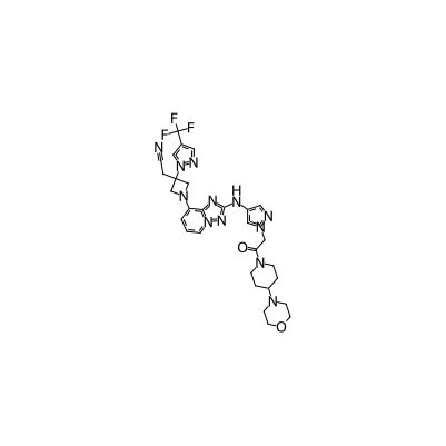 N#CCC1(n2cc(C(F)(F)F)cn2)CN(c2cccn3nc(Nc4cnn(CC(=O)N5CCC(N6CCOCC6)CC5)c4)nc23)C1